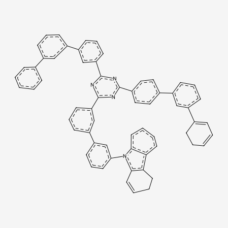 C1=CCCC(c2cccc(-c3ccc(-c4nc(-c5cccc(-c6cccc(-c7ccccc7)c6)c5)nc(-c5cccc(-c6cccc(-n7c8c(c9ccccc97)CCC=C8)c6)c5)n4)cc3)c2)=C1